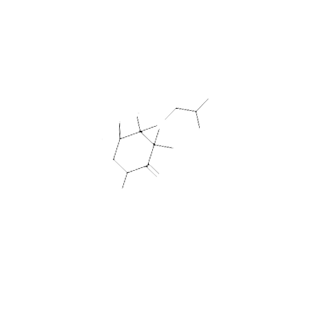 C=C1C(C)C[C@](C)(CC)C2(CCC)[SH](CC(CC)CCC)C12C(C)C